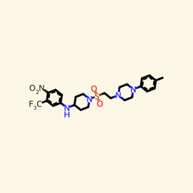 Cc1ccc(N2CCN(CCS(=O)(=O)N3CCC(Nc4ccc([N+](=O)[O-])c(C(F)(F)F)c4)CC3)CC2)cc1